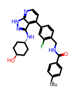 CC(C)(C)c1ccc(C(=O)NCc2ccc(-c3ccnc4[nH]nc(N[C@H]5CC[C@H](O)CC5)c34)cc2F)cc1